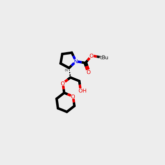 CC(C)(C)OC(=O)N1CCC[C@H]1C(CO)OC1CCCCO1